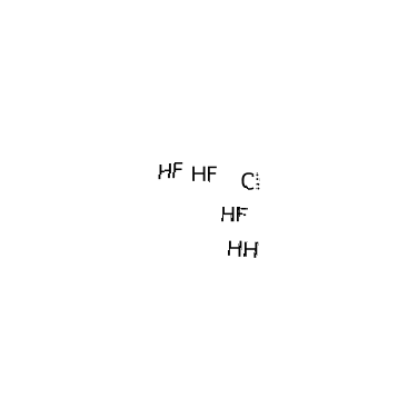 F.F.F.[C].[HH]